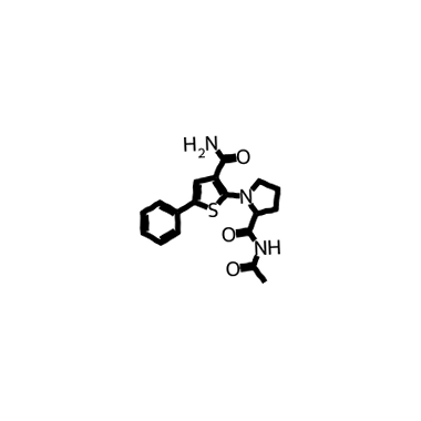 CC(=O)NC(=O)C1CCCN1c1sc(-c2ccccc2)cc1C(N)=O